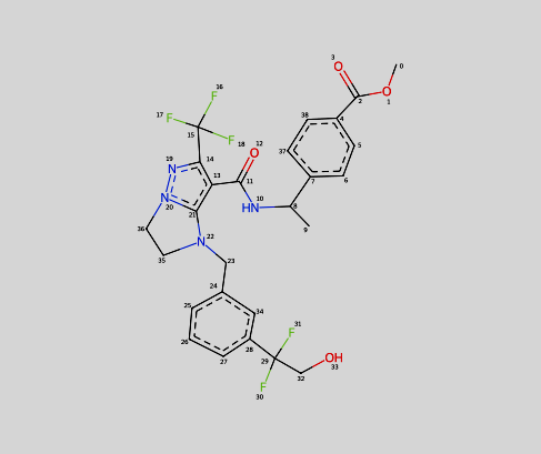 COC(=O)c1ccc(C(C)NC(=O)c2c(C(F)(F)F)nn3c2N(Cc2cccc(C(F)(F)CO)c2)CC3)cc1